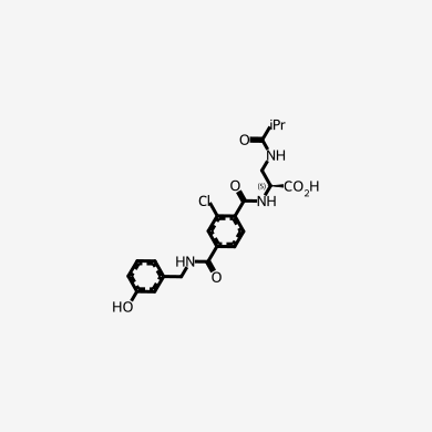 CC(C)C(=O)NC[C@H](NC(=O)c1ccc(C(=O)NCc2cccc(O)c2)cc1Cl)C(=O)O